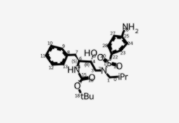 CC(C)CN(C[C@@H](O)[C@H](Cc1ccccc1)NC(=O)OC(C)(C)C)S(=O)(=O)c1ccc(N)cc1